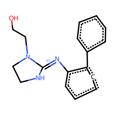 OCCN1CCN/C1=N\c1ccccc1-c1ccccc1